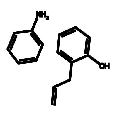 C=CCc1ccccc1O.Nc1ccccc1